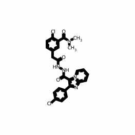 CN(C)C(=O)c1cc(CC(=O)NNC(=O)c2c(-c3ccc(Cl)cc3)nc3ccccn23)ccc1Cl